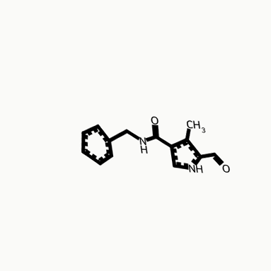 Cc1c(C(=O)NCc2ccccc2)c[nH]c1C=O